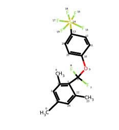 Cc1cc(C)c(C(F)(F)Oc2ccc(S(F)(F)(F)(F)F)cc2)c(C)c1